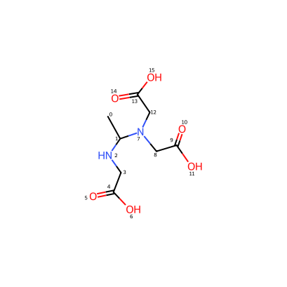 CC(NCC(=O)O)N(CC(=O)O)CC(=O)O